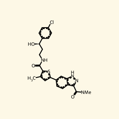 CNC(=O)c1n[nH]c2cc(-c3cc(C)c(C(=O)NCC[C@@H](O)c4ccc(Cl)cc4)s3)ccc12